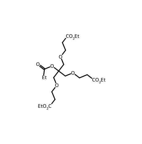 CCOC(=O)CCOCC(COCCC(=O)OCC)(COCCC(=O)OCC)OC(=O)CC